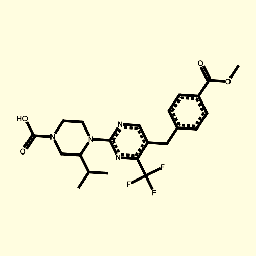 COC(=O)c1ccc(Cc2cnc(N3CCN(C(=O)O)CC3C(C)C)nc2C(F)(F)F)cc1